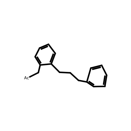 CC(=O)Cc1ccccc1CCCc1ccccc1